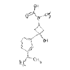 CC(C)c1cccc(C2(O)CC(N(C)C(=O)O)C2)c1